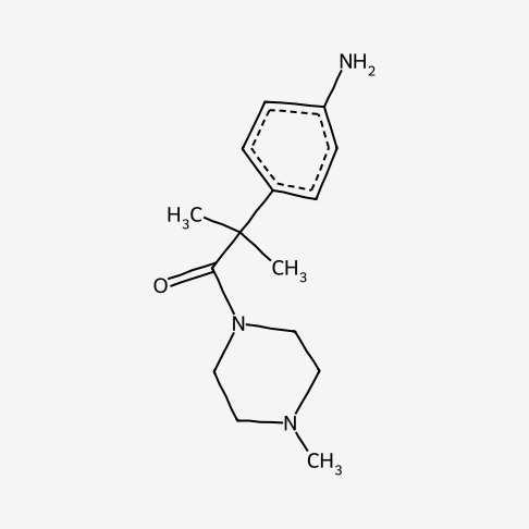 CN1CCN(C(=O)C(C)(C)c2ccc(N)cc2)CC1